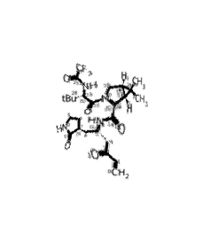 C=CC(=O)C[C@H](C[C@@H]1CCNC1=O)NC(=O)[C@@H]1[C@@H]2[C@H](CN1C(=O)[C@@H](NC(=O)C(F)(F)F)C(C)(C)C)C2(C)C